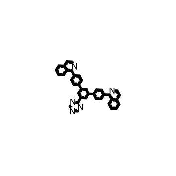 c1ccc2c(-c3ccc(-c4cc(-c5ccc(-c6nccc7ccccc67)cc5)cc(-c5ncncn5)c4)cc3)nccc2c1